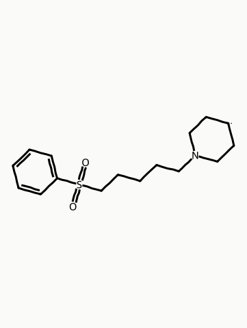 O=S(=O)(CCCCCN1CC[CH]CC1)c1ccccc1